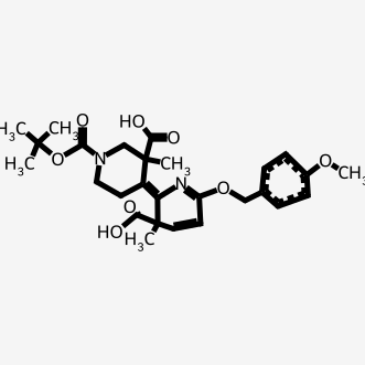 COc1ccc(COC2=NC(=C3CCN(C(=O)OC(C)(C)C)CC3(C)C(=O)O)C(C)(C(=O)O)C=C2)cc1